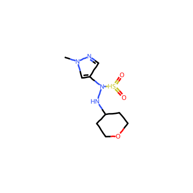 Cn1cc(N(NC2CCOCC2)[SH](=O)=O)cn1